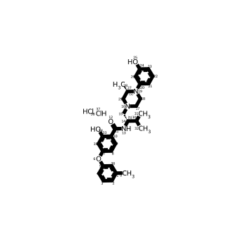 Cc1cccc(Oc2ccc(C(=O)N[C@H](CN3CCN(c4cccc(O)c4)[C@@H](C)C3)C(C)C)c(O)c2)c1.Cl.Cl